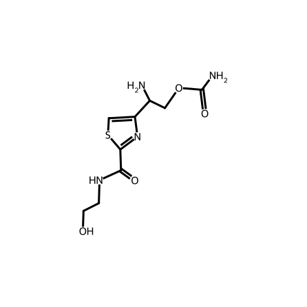 NC(=O)OCC(N)c1csc(C(=O)NCCO)n1